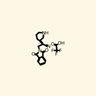 N#C/C(CN1C(=O)c2ccccc2C1=O)=C1/CCCNC1.O=C(O)C(F)(F)F